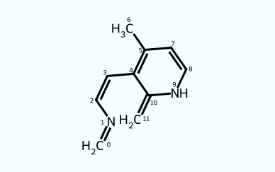 C=N/C=C\C1=C(C)C=CNC1=C